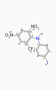 CN(c1ccc(I)cc1)c1c([N+](=O)[O-])cc([N+](=O)[O-])cc1C(F)(F)F